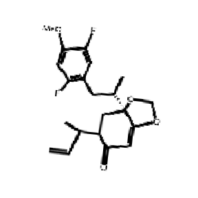 C=CC(C)C1C[C@@]2(C(C)Cc3cc(F)c(OC)cc3F)OCOC2=CC1=O